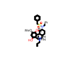 C=CCN1CC[C@]23c4c5c(O)cc(OC)c4O[C@H]2[C@H](N(CC(C)C)S(=O)(=O)Cc2ccccc2)CC[C@H]3[C@H]1C5